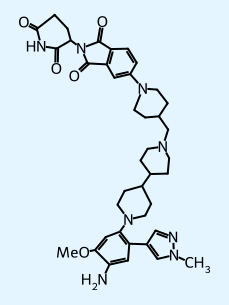 COc1cc(N2CCC(C3CCN(CC4CCN(c5ccc6c(c5)C(=O)N(C5CCC(=O)NC5=O)C6=O)CC4)CC3)CC2)c(-c2cnn(C)c2)cc1N